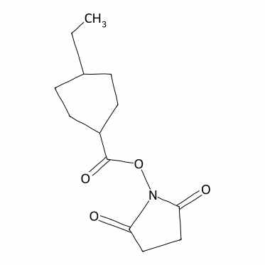 CCC1CCC(C(=O)ON2C(=O)CCC2=O)CC1